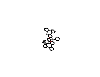 c1ccc(N(c2ccc3c(c2)-c2ccccc2-c2ccccc2O3)c2ccc3c(c2)C2(c4ccccc4-c4ccccc4-3)c3ccccc3-c3ccccc32)cc1